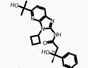 CC(C)(O)c1ccc2nc(NC(=O)C[C@@](C)(O)c3ccccc3)n(C3CCC3)c2n1